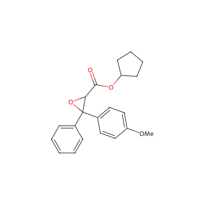 COc1ccc(C2(c3ccccc3)OC2C(=O)OC2CCCC2)cc1